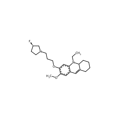 CCN1c2cc(OCCCN3CC[C@@H](F)C3)c(OC)cc2C=C2CCCCC21